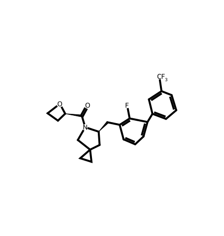 O=C([C@H]1CCO1)N1CC2(CC2)C[C@@H]1Cc1cccc(-c2cccc(C(F)(F)F)c2)c1F